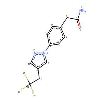 NC(=O)Cc1ccc(-n2cc(CC(F)(F)F)cn2)cc1